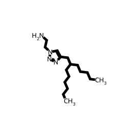 CCCCCCC(CCCCC)Cc1cn(CCN)nn1